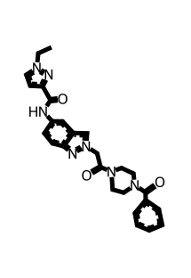 CCn1ccc(C(=O)Nc2ccc3nn(CC(=O)N4CCN(C(=O)c5ccccc5)CC4)cc3c2)n1